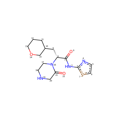 O=C(Nc1nccs1)[C@@H](CC1CCCOC1)N1CCNCC1=O